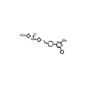 CC(C)(C)c1nc(C2CCC2)cc(N2CCN(CC[C@H]3C[C@H](NC(=O)[C@H]4C[C@H](O)C4)C3)CC2)n1